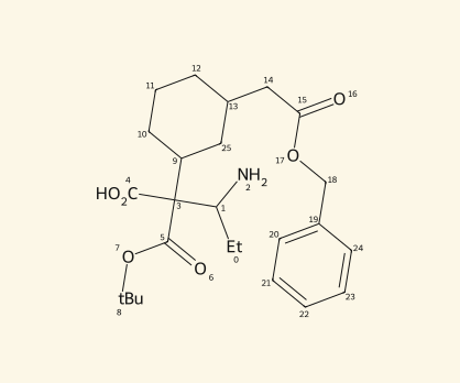 CCC(N)C(C(=O)O)(C(=O)OC(C)(C)C)C1CCCC(CC(=O)OCc2ccccc2)C1